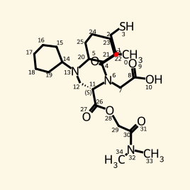 C[C@H](CS)C(=O)N(CC(=O)O)[C@@H](CN(C1CCCCC1)C1CCCCC1)C(=O)OCC(=O)N(C)C